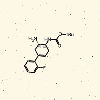 CC(C)(C)OC(=O)N[C@H]1CC=C(c2ccccc2F)C[C@@H]1N